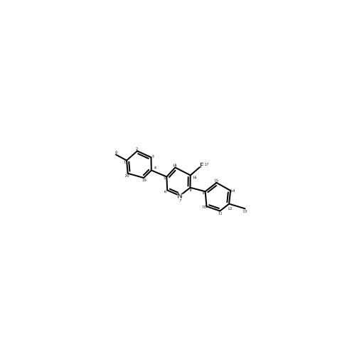 Cc1ccc(-c2cnc(-c3ccc(C)cc3)c(F)c2)cc1